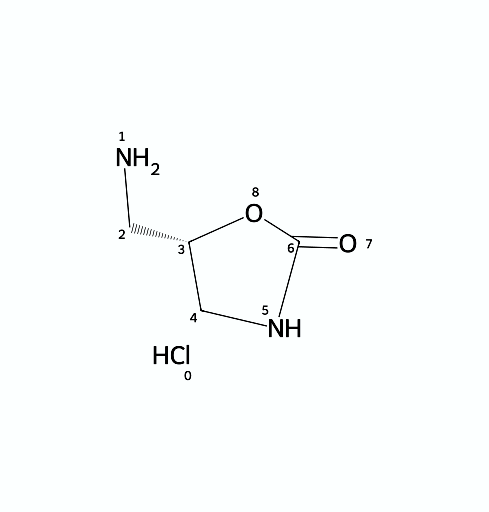 Cl.NC[C@H]1CNC(=O)O1